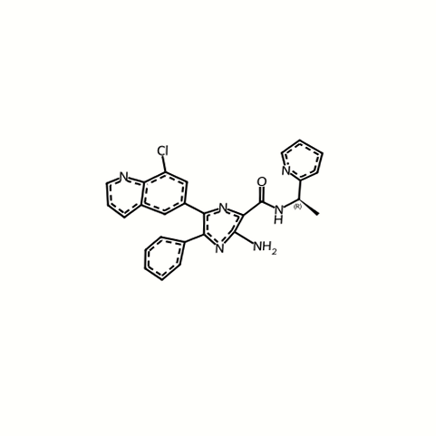 C[C@@H](NC(=O)c1nc(-c2cc(Cl)c3ncccc3c2)c(-c2ccccc2)nc1N)c1ccccn1